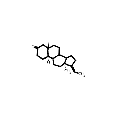 CC=C1CCC2C3CCC4(I)CC(=O)CC[C@@H]4C3CC[C@]12C